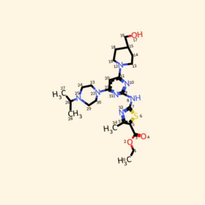 CCOC(=O)c1sc(Nc2nc(N3CCC(CO)CC3)cc(N3CCN(C(C)C)CC3)n2)nc1C